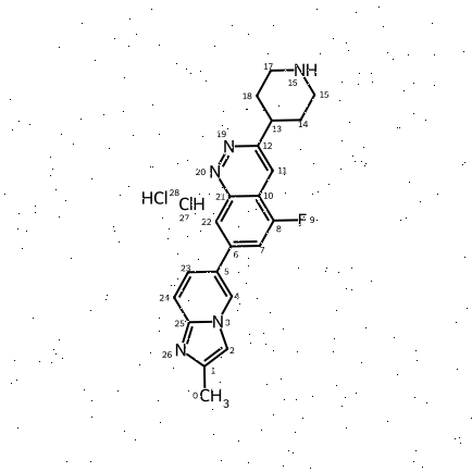 Cc1cn2cc(-c3cc(F)c4cc(C5CCNCC5)nnc4c3)ccc2n1.Cl.Cl